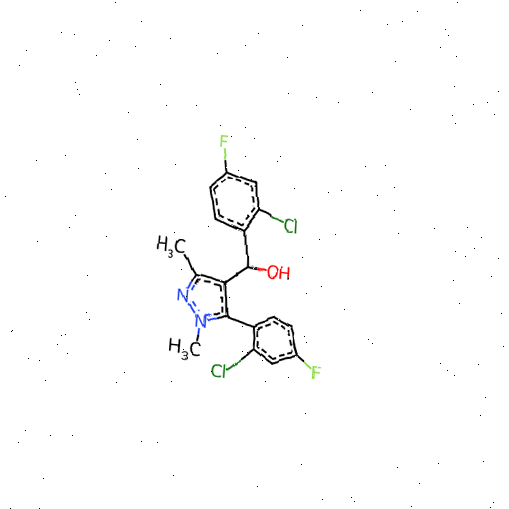 Cc1nn(C)c(-c2ccc(F)cc2Cl)c1C(O)c1ccc(F)cc1Cl